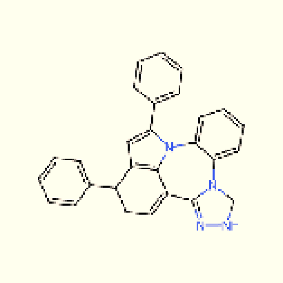 C1=C2C3=NNCN3c3ccccc3-n3c(-c4ccccc4)cc(c32)C(c2ccccc2)C1